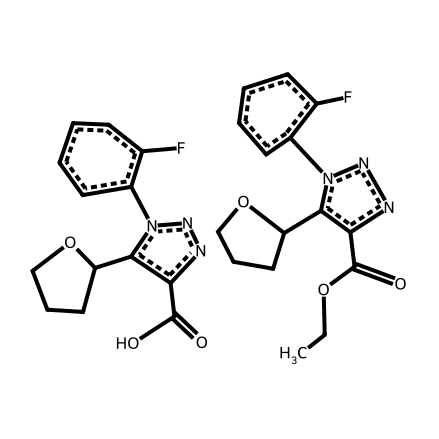 CCOC(=O)c1nnn(-c2ccccc2F)c1C1CCCO1.O=C(O)c1nnn(-c2ccccc2F)c1C1CCCO1